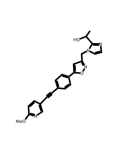 COc1ccc(C#Cc2ccc(-c3cc(Cn4ccnc4C(C)O)no3)cc2)cn1